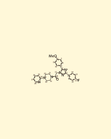 COc1ccc(-c2nc(-c3ccc(F)cc3)nn2CC(=O)N2CCN(c3ccccn3)CC2)cc1